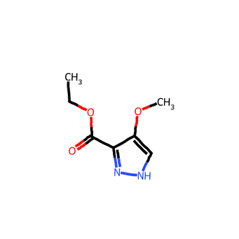 CCOC(=O)c1n[nH]cc1OC